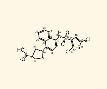 O=C(O)C1CCN(c2ccc(NS(=O)(=O)c3cc(Cl)sc3Cl)c3ccccc23)C1